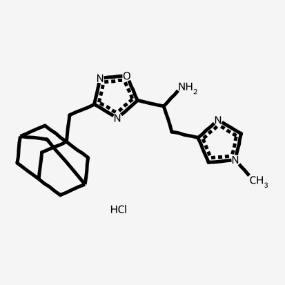 Cl.Cn1cnc(CC(N)c2nc(CC34CC5CC(CC(C5)C3)C4)no2)c1